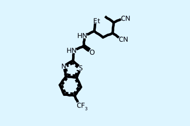 CCC(CC(C#N)C(C)C#N)NC(=O)Nc1nc2ccc(C(F)(F)F)cc2s1